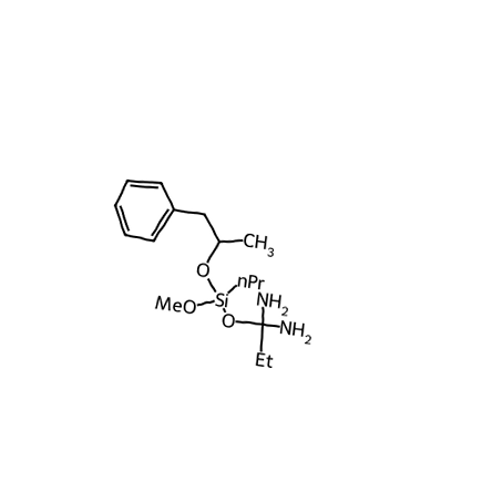 CCC[Si](OC)(OC(C)Cc1ccccc1)OC(N)(N)CC